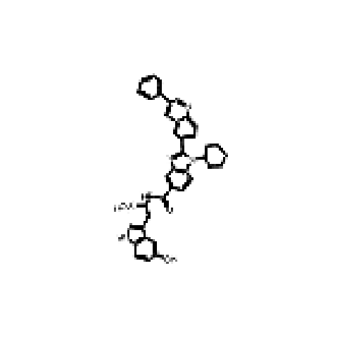 O=C(NC(Cc1c[nH]c2ccc(O)cc12)C(=O)O)c1ccc2c(c1)nc(-c1ccc3ncc(-c4ccccc4)cc3c1)n2C1CCCCC1